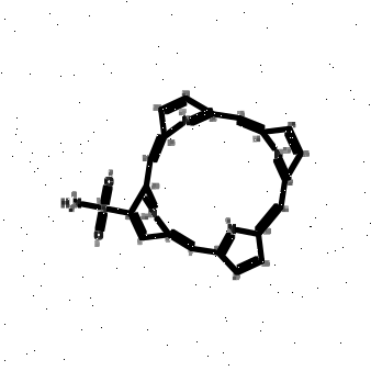 NS(=O)(=O)C1=CC2=CC3=NC(=CC4=NC(=CC5=NC(=CC1=N2)C=C5)C=C4)C=C3